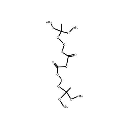 CCCCOC(C)(OCCCC)OOOC(=O)OC(=O)OOOC(C)(OCCCC)OCCCC